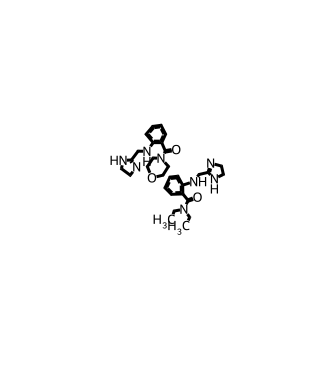 CCN(CC)C(=O)c1ccccc1NCC1=NCCN1.O=C(c1ccccc1NCC1=NCCN1)N1CCOCC1